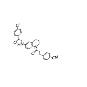 N#Cc1ccc(CCC(=O)N2CCCc3cc(NCC(=O)c4ccc(Cl)cc4)ccc32)cc1